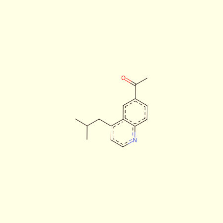 CC(=O)c1ccc2nccc(CC(C)C)c2c1